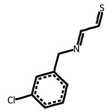 S=CC=NCc1cccc(Cl)c1